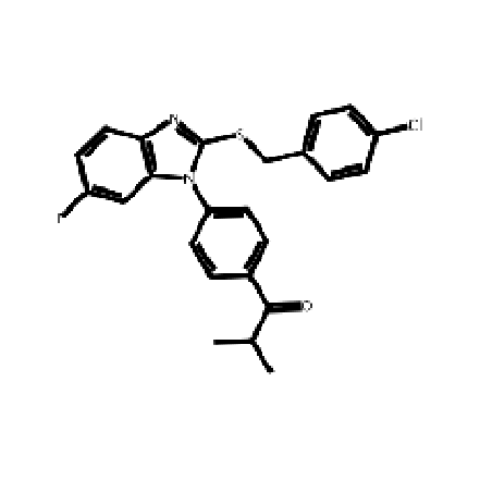 CC(C)C(=O)c1ccc(-n2c(SCc3ccc(Cl)cc3)nc3ccc(I)cc32)cc1